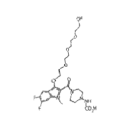 Cn1c(C(=O)N2CCN(NC(=O)O)CC2)c(OCCOCCOCCOCCO)c2cc(F)c(F)cc21